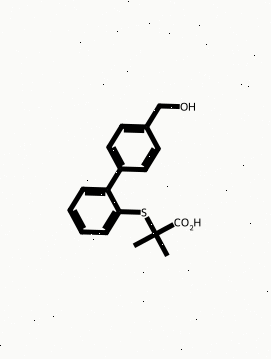 CC(C)(Sc1ccccc1-c1ccc(CO)cc1)C(=O)O